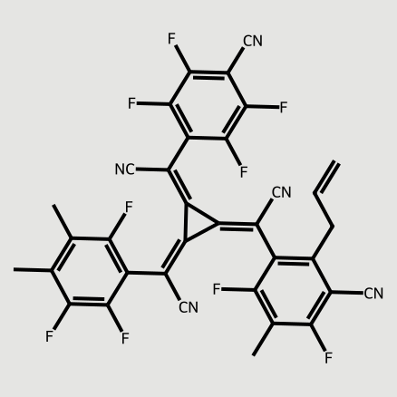 C=CCc1c(C#N)c(F)c(C)c(F)c1/C(C#N)=C1/C(=C(C#N)c2c(F)c(F)c(C#N)c(F)c2F)/C1=C(/C#N)c1c(F)c(C)c(C)c(F)c1F